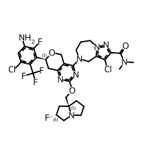 CN(C)C(=O)c1nn2c(c1Cl)CN(c1nc(OC[C@@]34CCCN3C[C@H](F)C4)nc3c1CO[C@H](c1c(F)c(N)cc(Cl)c1C(F)(F)F)C3)CCC2